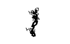 O=C1NC(=O)/C(=C\c2ccnc(N3CCC(CNc4ccc5ccccc5n4)CC3)n2)S1